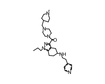 CCCn1nc(C(=O)N2CCN(CC3CCN(C)CC3)CC2)c2c1CCC(NCCc1ccncc1)C2